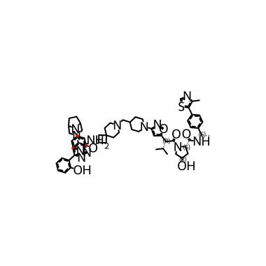 Cc1ncsc1-c1ccc([C@H](C)NC(=O)[C@@H]2C[C@@H](O)CN2C(=O)[C@@H](c2cc(N3CCC(CN4CCC5(CC4)CC(Oc4cc(N6C7CCC6CN(c6cc(-c8ccccc8O)nnc6N)C7)ccn4)C5)CC3)no2)C(C)C)cc1